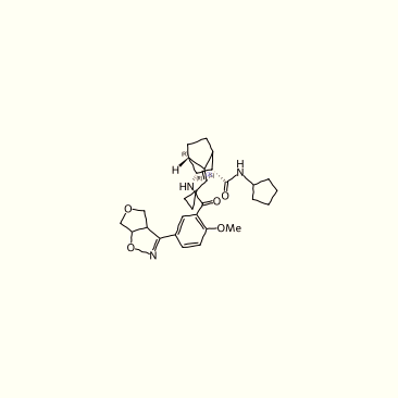 COc1ccc(C2=NOC3COCC23)cc1C(=O)N[C@@H]1[C@@H]2CCC(/C2=C/C2CC2)[C@@H]1C(=O)NC1CCCC1